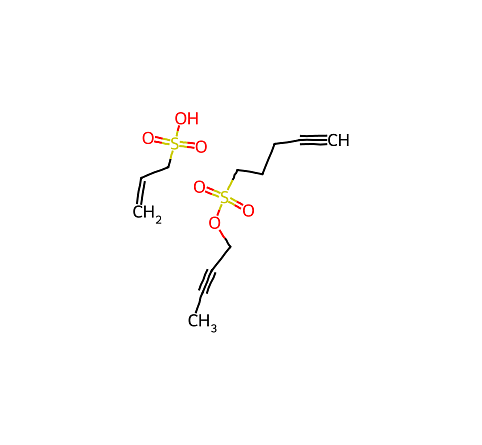 C#CCCCS(=O)(=O)OCC#CC.C=CCS(=O)(=O)O